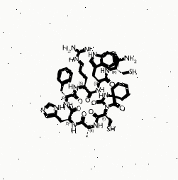 C[C@@H](NC(=O)[C@H](CS)N1C(=O)NC2(CCCCC2)C1=O)C(=O)N[C@@H](Cc1cnc[nH]1)C(=O)N[C@H](Cc1ccccc1)C(=O)N[C@@H](CCCNC(=N)N)C(=O)N[C@@H](Cc1c[nH]c2ccccc12)C(=O)N[C@@H](CS)C(N)=O